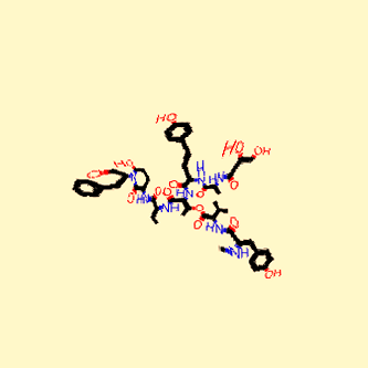 C/C=C(\NC(=O)C(NC(=O)C(CCc1ccc(O)cc1)NC(=O)C(C)NC(=O)C(O)CO)C(C)OC(=O)C(NC(=O)C(Cc1ccc(O)cc1)NC)C(C)C)C(=O)NC1CCC(O)N(C(C=O)Cc2ccccc2)C1=O